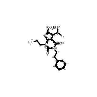 CCOC(=O)c1sc2c(c1C(F)F)c(=O)n(CCc1ccccc1)c(=O)n2CCC(F)(F)F